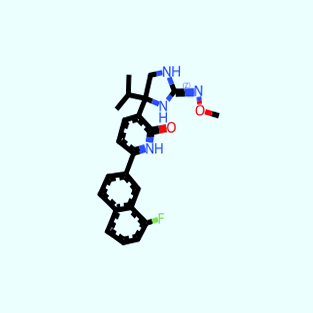 CO/N=C1/NCC(c2ccc(-c3ccc4cccc(F)c4c3)[nH]c2=O)(C(C)C)N1